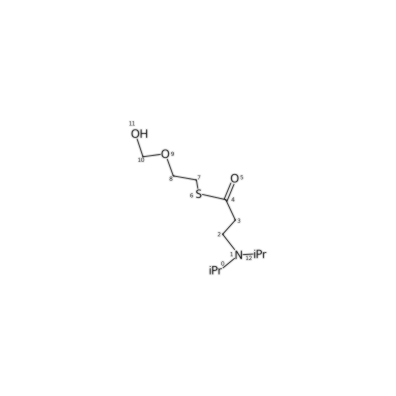 CC(C)N(CCC(=O)SCCOCO)C(C)C